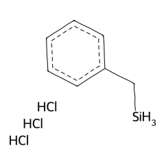 Cl.Cl.Cl.[SiH3]Cc1ccccc1